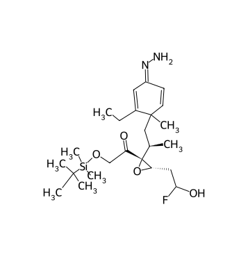 CCC1=C/C(=N/N)C=CC1(C)C[C@@H](C)[C@@]1(C(=O)CO[Si](C)(C)C(C)(C)C)O[C@H]1CC(O)F